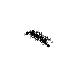 COc1cc(OCc2ccccc2)cc(C)c1C(=O)Oc1c(C)c(C)c(C(=O)Oc2cc(C)c(C(=O)Oc3cc(OC)c(C(=O)OCc4ccccc4)c(C)c3C)c(O)c2C)c(O)c1Br